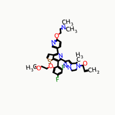 C=CC(=O)N1CCn2nc(-c3nc(-c4ccc(OCCN(C)C)nc4)c4ccsc4c3-c3c(F)cc(F)cc3OCCOC)cc2C1C